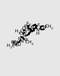 COc1nc(C(=O)NS(C)(=O)=O)ncc1N(CC#Cc1cc2c(N[C@@H]3CCN(C)C[C@@H]3F)cccn2c1CC(F)(F)F)C(=O)OC(C)(C)C